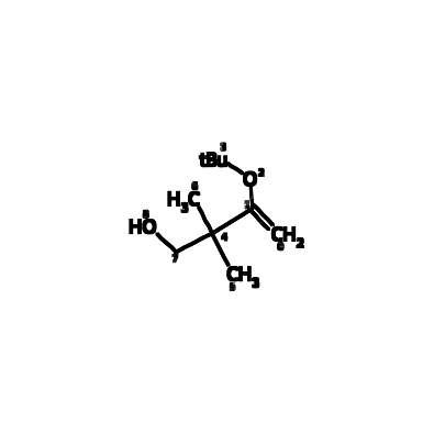 C=C(OC(C)(C)C)C(C)(C)CO